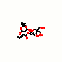 C=CC(=O)OC.O=C([O-])CC(=O)[O-].OCC(CO)(CO)CO.[Na+].[Na+]